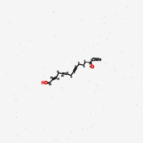 COC(=O)CCCC#CCC#CCC#CCO